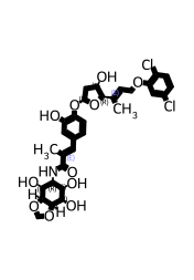 C/C(=C\c1ccc(O[C@H]2C[C@H](O)[C@@H](/C(C)=C/COc3cc(Cl)ccc3Cl)O2)c(O)c1)C(=O)N[C@@H]1[C@H](O)[C@@H](O)[C@H]2OCO[C@H]2[C@@H]1O